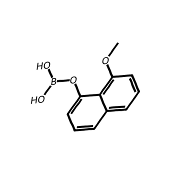 COc1cccc2cccc(OB(O)O)c12